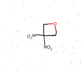 O=[N+]([O-])C1([N+](=O)[O-])COC1